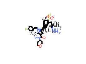 Cc1c(C(=O)NC2CCOCC2)cc(-c2cc(CC(C)(C)N)c([SH](=O)=O)c(C(F)(F)F)c2)n1CC1CCC(F)CC1